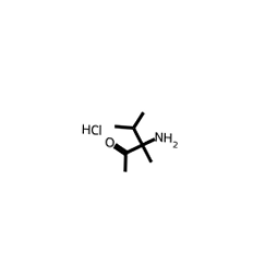 CC(=O)C(C)(N)C(C)C.Cl